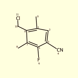 Cc1cc(C#N)c(F)c(C)c1CCl